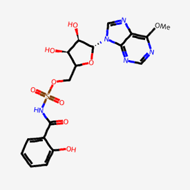 COc1ncnc2c1ncn2[C@@H]1OC(COS(=O)(=O)NC(=O)c2ccccc2O)[C@@H](O)[C@H]1O